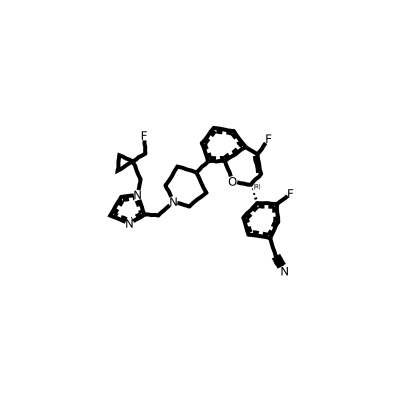 N#Cc1ccc([C@H]2C=C(F)c3cccc(C4CCN(Cc5nccn5CC5(CF)CC5)CC4)c3O2)c(F)c1